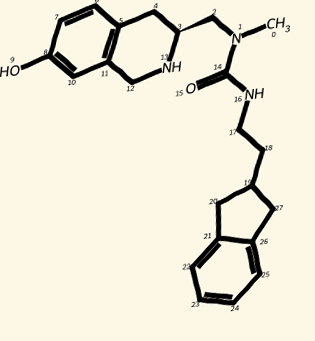 CN(C[C@@H]1Cc2ccc(O)cc2CN1)C(=O)NCCC1Cc2ccccc2C1